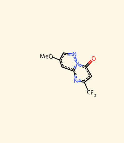 COc1cnn2c(=O)cc(C(F)(F)F)nc2c1